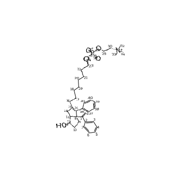 C=C(c1ccccc1)C12CCC(O)C1CC(CCCCCCCCOP(=O)([O-])OCC[N+](C)(C)C)=C2c1ccccc1